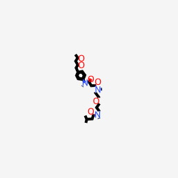 CC(=O)CC(=O)Cc1ccc(N(C)C(=O)CC(=O)N(C)CCOCCCN(C)C(=O)CC(C)C)cc1